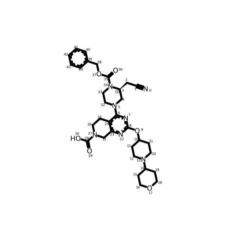 N#CC[C@H]1CN(c2nc(OC3CCN(C4CCOCC4)CC3)nc3c2CCN(C(=O)O)C3)CCN1C(=O)OCc1ccccc1